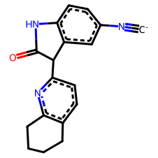 [C-]#[N+]c1ccc2c(c1)C(c1ccc3c(n1)CCCC3)C(=O)N2